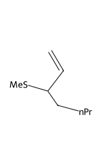 [CH2]CCCC(C=C)SC